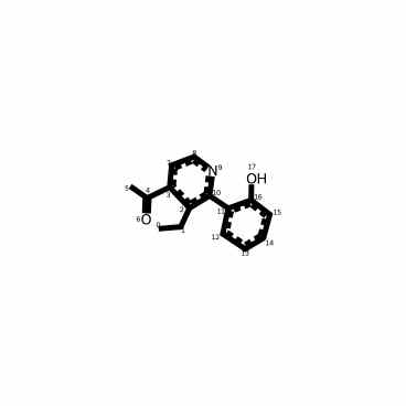 CCc1c(C(C)=O)ccnc1-c1ccccc1O